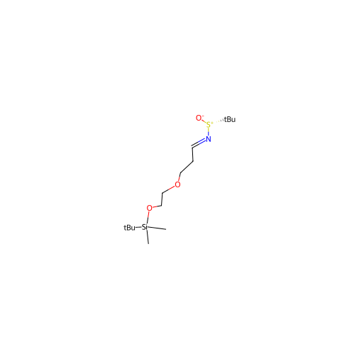 CC(C)(C)[S@@+]([O-])/N=C/CCOCCO[Si](C)(C)C(C)(C)C